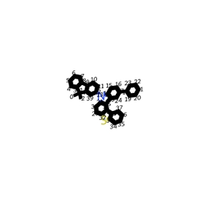 CC1(C)c2ccccc2-c2ccc(-n3c4ccc(-c5ccccc5)cc4c4c5c(ccc43)sc3ccccc35)cc21